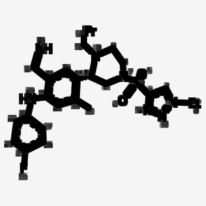 CCn1cc(S(=O)(=O)N2CCN(CC(C)C)[C@@H](c3cc(C=N)c(Nc4ccc(F)cc4)cc3C)C2)nn1